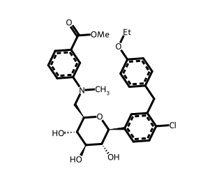 CCOc1ccc(Cc2cc([C@@H]3O[C@H](CN(C)c4cccc(C(=O)OC)c4)[C@@H](O)[C@H](O)[C@H]3O)ccc2Cl)cc1